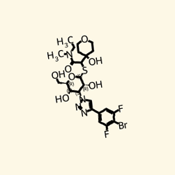 CCN(C)C(=O)C(S[C@@H]1O[C@H](CO)[C@H](O)[C@H](n2cc(-c3cc(F)c(Br)c(F)c3)nn2)[C@H]1O)C1(O)CCOCC1